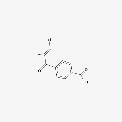 CC(=CCl)C(=O)c1ccc(C(=O)O)cc1